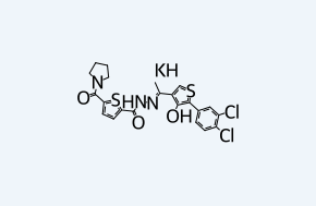 CC(=NNC(=O)c1ccc(C(=O)N2CCCC2)s1)c1csc(-c2ccc(Cl)c(Cl)c2)c1O.[KH]